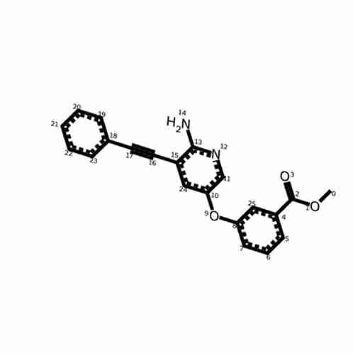 COC(=O)c1cccc(Oc2cnc(N)c(C#Cc3ccccc3)c2)c1